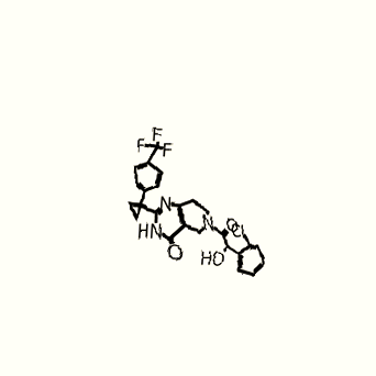 O=C([C@H](O)c1ccccc1Cl)N1CCc2nc(C3(c4ccc(C(F)(F)F)cc4)CC3)[nH]c(=O)c2C1